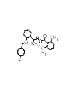 Cc1cccc(C)c1C(=O)O/N=C(\N)c1ccccc1OCc1ccc(F)cc1